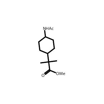 COC(=O)C(C)(C)C1CCC(NC(C)=O)CC1